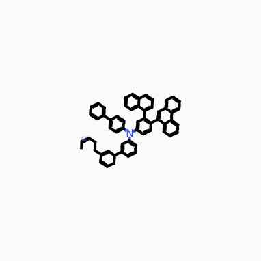 C/C=C\CCC1=CC(c2cccc(N(c3ccc(-c4ccccc4)cc3)c3ccc(-c4cc5ccccc5c5ccccc45)c(-c4cccc5ccccc45)c3)c2)CC=C1